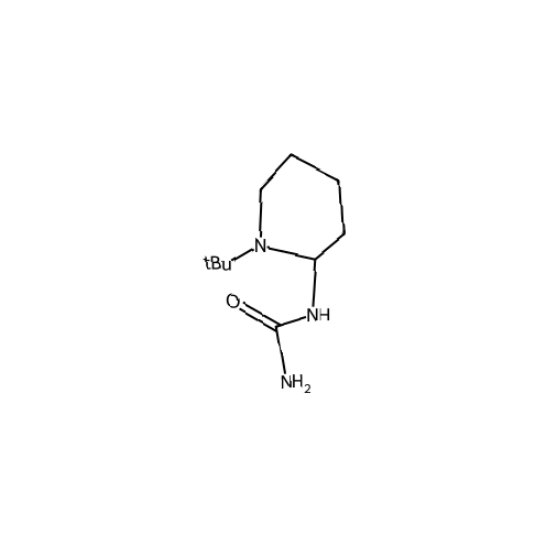 CC(C)(C)N1CCCCC1NC(N)=O